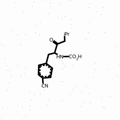 CC(C)CC(=O)C(Cc1ccc(C#N)cc1)NC(=O)O